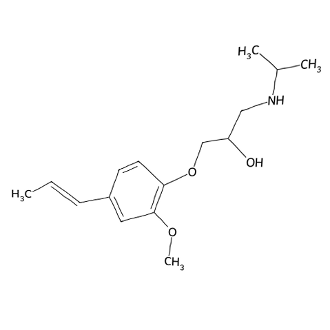 CC=Cc1ccc(OCC(O)CNC(C)C)c(OC)c1